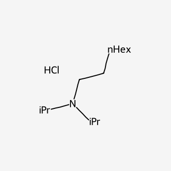 CCCCCCCCN(C(C)C)C(C)C.Cl